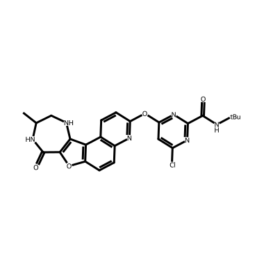 CC1CNc2c(oc3ccc4nc(Oc5cc(Cl)nc(C(=O)NC(C)(C)C)n5)ccc4c23)C(=O)N1